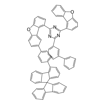 c1ccc(-c2cccc(-c3nc(-c4cccc5oc6ccccc6c45)nc(-c4cccc5oc6ccc(-c7ccc(-c8cccc9c8-c8ccccc8C98c9ccccc9-c9ccccc98)cc7)cc6c45)n3)c2)cc1